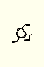 C=Cc1ccc(C=C)cc1.[CH2]C=C